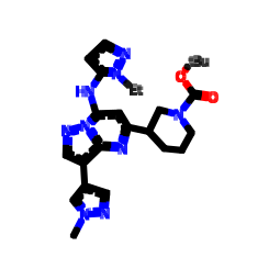 CCn1nccc1Nc1cc(C2CCCN(C(=O)OC(C)(C)C)C2)nc2c(-c3cnn(C)c3)cnn12